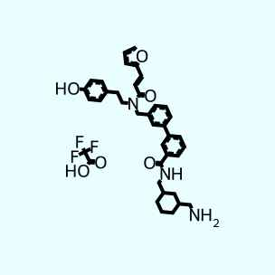 NCC1CCCC(CNC(=O)c2cccc(-c3cccc(CN(CCc4ccc(O)cc4)C(=O)/C=C/c4ccco4)c3)c2)C1.O=C(O)C(F)(F)F